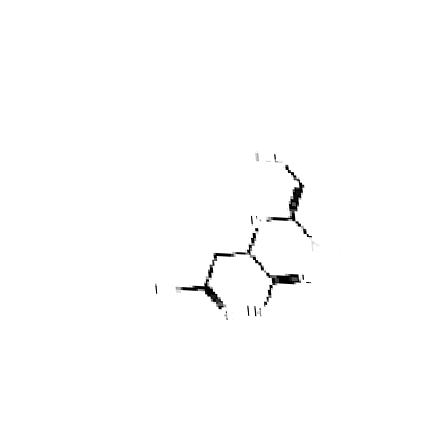 CC=C(N)NC(CC(=O)O)C(=O)O